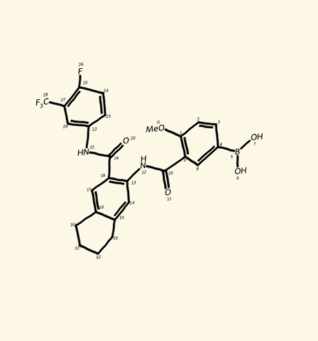 COc1ccc(B(O)O)cc1C(=O)Nc1cc2c(cc1C(=O)Nc1ccc(F)c(C(F)(F)F)c1)CCCC2